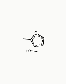 CO.Cc1ccco1